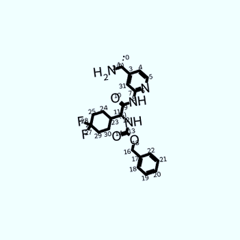 C[C@@H](N)c1ccnc(NC(=O)[C@@H](NC(=O)OCc2ccccc2)C2CCC(F)(F)CC2)c1